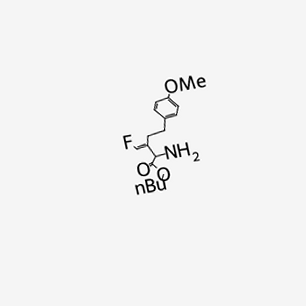 CCCCOC(=O)C(N)/C(=C/F)CCc1ccc(OC)cc1